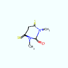 C=[N+]1C(=O)N(C)C(=S)CC1=S